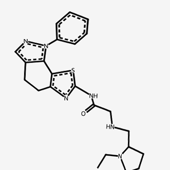 CCN1CCCC1CNCC(=O)Nc1nc2c(s1)-c1c(cnn1-c1ccccc1)CC2